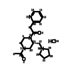 CC(=O)N1CCN(C(=O)Cc2ccccn2)[C@H](CN2CCCC2)C1.Cl